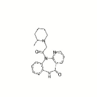 CC1CCCCN1CC(=O)N1c2ccccc2NC(=O)c2cccnc21